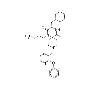 CCCCN1C(=O)C(CC2CCCCC2)NC(=O)C12CCN(Cc1cccnc1Oc1ccccc1)CC2